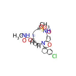 CC[C@@H]1CC/C=C/[C@H](OCC(=O)NC)[C@@H]2CC[C@H]2CN2C[C@@]3(CCCc4cc(Cl)ccc43)COc3ccc(cc32)C(=O)NS1(=O)=O